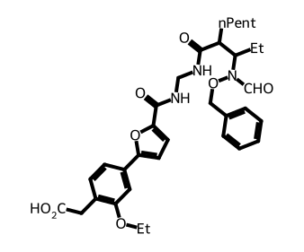 CCCCCC(C(=O)NCNC(=O)c1ccc(-c2ccc(CC(=O)O)c(OCC)c2)o1)C(CC)N(C=O)OCc1ccccc1